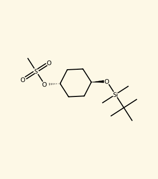 CC(C)(C)[Si](C)(C)O[C@H]1CC[C@H](OS(C)(=O)=O)CC1